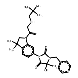 CC(C)(N)CNCC(=O)N1CC(C)(C)c2ccc(N3C(=O)N(Cc4ccncc4)C(C)(C)C3=O)cc21